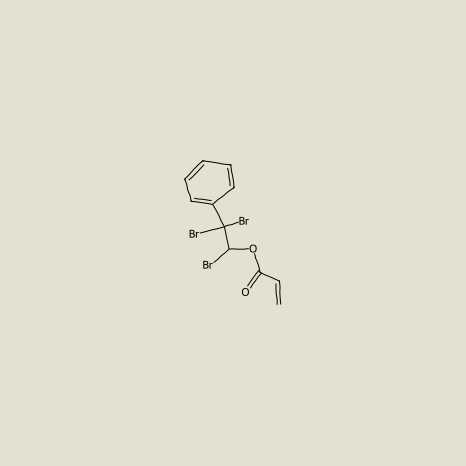 C=CC(=O)OC(Br)C(Br)(Br)c1ccccc1